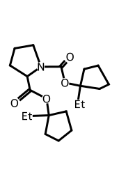 CCC1(OC(=O)C2CCCN2C(=O)OC2(CC)CCCC2)CCCC1